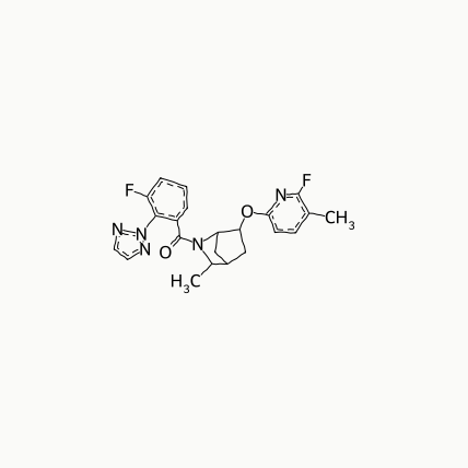 Cc1ccc(OC2CC3CC2N(C(=O)c2cccc(F)c2-n2nccn2)C3C)nc1F